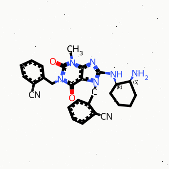 Cn1c(=O)n(Cc2ccccc2C#N)c(=O)c2c1nc(N[C@@H]1CCCC[C@@H]1N)n2Cc1ccccc1C#N